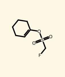 O=S(=O)(CF)OC1=CCCCC1